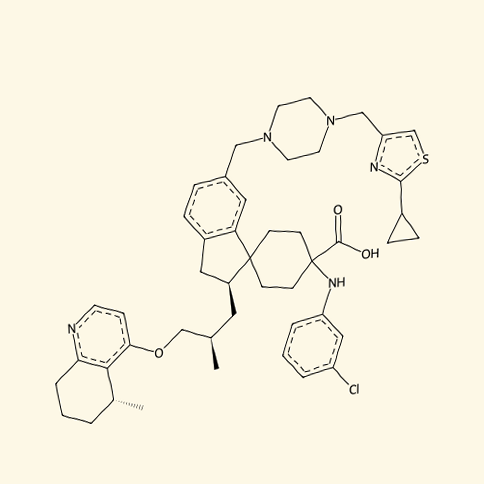 C[C@@H](COc1ccnc2c1[C@H](C)CCC2)C[C@H]1Cc2ccc(CN3CCN(Cc4csc(C5CC5)n4)CC3)cc2C12CCC(Nc1cccc(Cl)c1)(C(=O)O)CC2